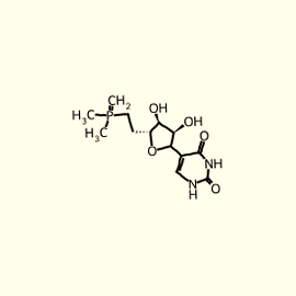 C=P(C)(C)CC[C@H]1OC(c2c[nH]c(=O)[nH]c2=O)[C@H](O)[C@@H]1O